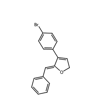 Brc1ccc(C2=CCOC2=Cc2ccccc2)cc1